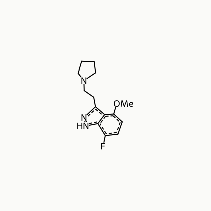 COc1ccc(F)c2[nH]nc(CCN3CCCC3)c12